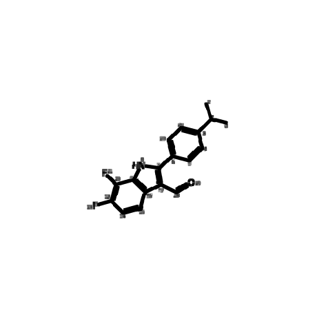 CC(C)c1ccc(-c2[nH]c3c(F)c(F)ccc3c2C=O)cc1